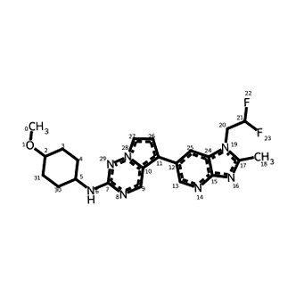 COC1CCC(Nc2ncc3c(-c4cnc5nc(C)n(CC(F)F)c5c4)ccn3n2)CC1